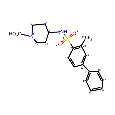 O=C(O)N1CCC(NS(=O)(=O)c2ccc(-c3ccccc3)cc2C(F)(F)F)CC1